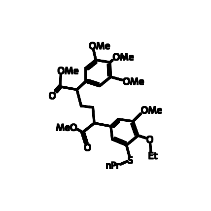 CCCSc1cc(C(CCC(C(=O)OC)c2cc(OC)c(OC)c(OC)c2)C(=O)OC)cc(OC)c1OCC